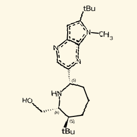 Cn1c(C(C)(C)C)cc2ncc([C@@H]3CCC[C@@H](C(C)(C)C)[C@H](CO)N3)nc21